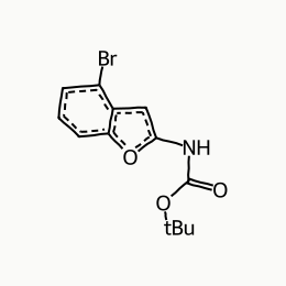 CC(C)(C)OC(=O)Nc1cc2c(Br)cccc2o1